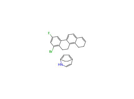 C1=CC2=CC=C(CC2)N1.Fc1cc(Br)c2c(c1)-c1ccc3c(c1CC2)CCC=C3